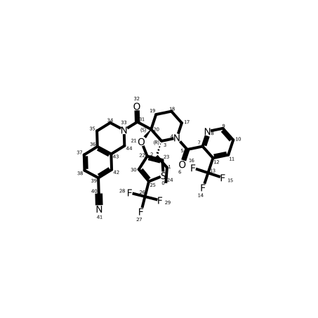 CCC[C@H]1N(C(=O)c2ncccc2C(F)(F)F)CCC[C@@]1(Oc1csc(C(F)(F)F)c1)C(=O)N1CCc2ccc(C#N)cc2C1